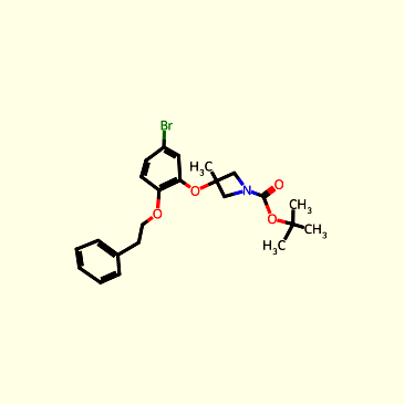 CC(C)(C)OC(=O)N1CC(C)(Oc2cc(Br)ccc2OCCc2ccccc2)C1